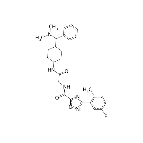 Cc1ccc(F)cc1-c1noc(C(=O)NCC(=O)NC2CCC(C(c3ccccc3)N(C)C)CC2)n1